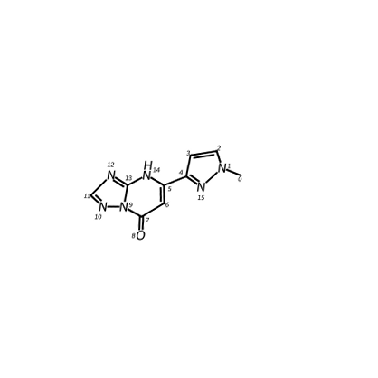 Cn1ccc(-c2cc(=O)n3ncnc3[nH]2)n1